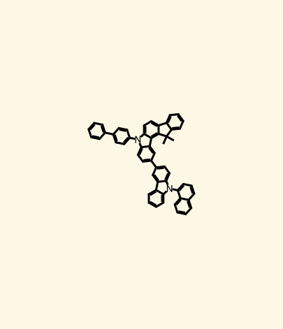 CC1(C)c2ccccc2-c2ccc3c(c21)c1cc(-c2ccc4c(c2)c2ccccc2n4-c2cccc4ccccc24)ccc1n3-c1ccc(-c2ccccc2)cc1